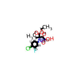 CCOC(=O)C(CC)(Nc1ccc(Cl)c(F)c1)C(=O)C(=O)O